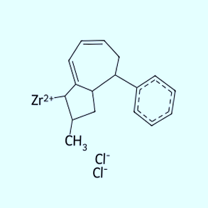 CC1CC2C(=CC=CCC2c2ccccc2)[CH]1[Zr+2].[Cl-].[Cl-]